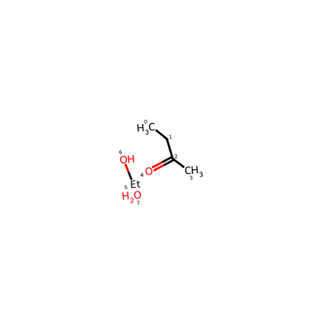 CCC(C)=O.CCO.O